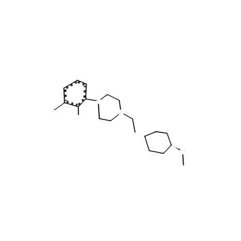 CN[C@H]1CC[C@H](CCN2CCN(c3cccc(Cl)c3Cl)CC2)CC1